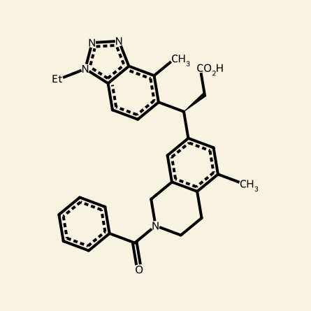 CCn1nnc2c(C)c([C@@H](CC(=O)O)c3cc(C)c4c(c3)CN(C(=O)c3ccccc3)CC4)ccc21